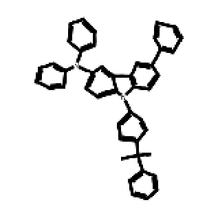 CC(C)(c1ccccc1)c1ccc(-n2c3ccc(-c4ccccc4)cc3c3cc(N(c4ccccc4)c4ccccc4)ccc32)cc1